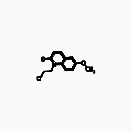 COc1ccc2c(ccc(=O)n2CCCl)c1